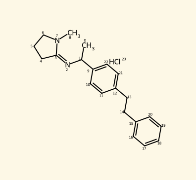 CC(N=C1CCCN1C)c1ccc(CCc2ccccc2)cc1.Cl